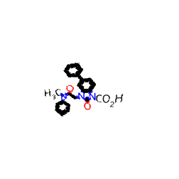 CN(C(=O)Cn1c(=O)n(C(=O)O)c2ccc(-c3ccccc3)cc21)c1ccccc1